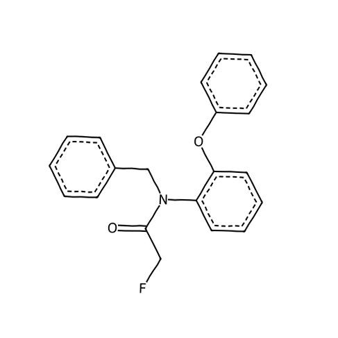 O=C(CF)N(Cc1ccccc1)c1ccccc1Oc1ccccc1